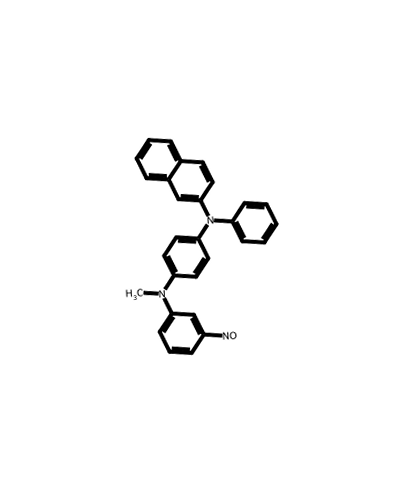 CN(c1ccc(N(c2ccccc2)c2ccc3ccccc3c2)cc1)c1cccc(N=O)c1